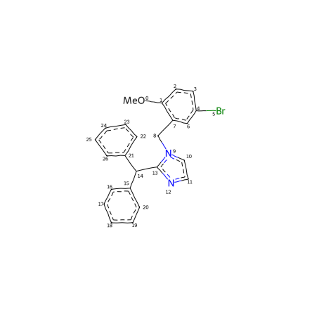 COc1ccc(Br)cc1Cn1ccnc1C(c1ccccc1)c1ccccc1